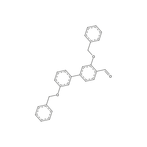 O=Cc1ccc(-c2cccc(OCc3ccccc3)c2)cc1OCc1ccccc1